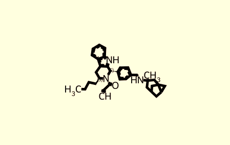 C#CC(=O)N1[C@@H](CCCC)Cc2c([nH]c3ccccc23)[C@@H]1c1ccc(CNC2(C)CC3CC4CC4(C3)C2)cc1